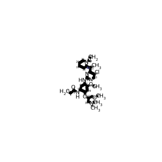 C=CC(=O)Nc1cc(Nc2ncc(Cl)c(/C(C)=C3\C=CC=CN3N=C)n2)c(OC)cc1OC(COC)CN(C)C